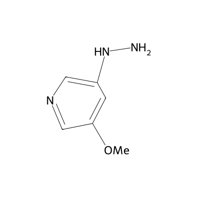 COc1cncc(NN)c1